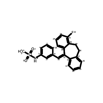 CS(=O)(=O)Nc1cccc(C=C2c3ccccc3CCc3c(F)cccc32)c1